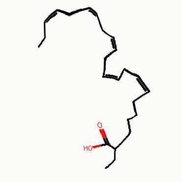 CC/C=C\C/C=C\C/C=C\C/C=C\C/C=C\CCCCC(CC)C(=O)O